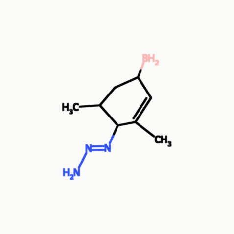 BC1C=C(C)C(N=NN)C(C)C1